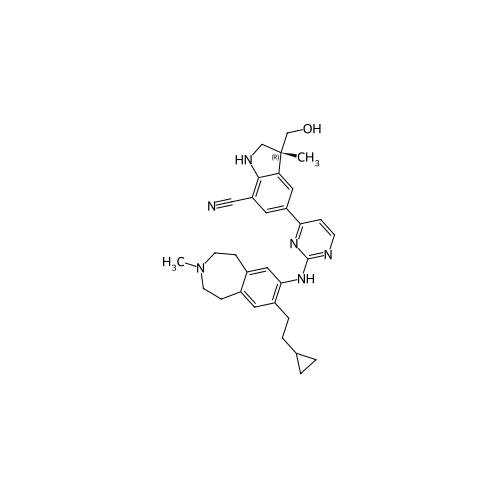 CN1CCc2cc(CCC3CC3)c(Nc3nccc(-c4cc(C#N)c5c(c4)[C@@](C)(CO)CN5)n3)cc2CC1